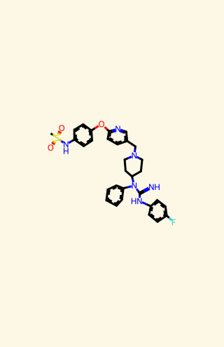 CS(=O)(=O)Nc1ccc(Oc2ccc(CN3CCC(N(C(=N)Nc4ccc(F)cc4)c4ccccc4)CC3)cn2)cc1